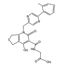 Cc1ccccc1-c1cnc(Cn2c3c(c(O)c(C(=O)NCC(=O)O)c2=O)CSC3)cn1